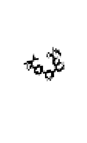 CC(C)c1conc1-c1ccc(-c2cncc(-c3ccnc4c3cc3n4CCN(C)C3=O)c2)cc1